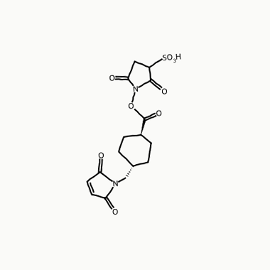 O=C1C=CC(=O)N1C[C@H]1CC[C@H](C(=O)ON2C(=O)CC(S(=O)(=O)O)C2=O)CC1